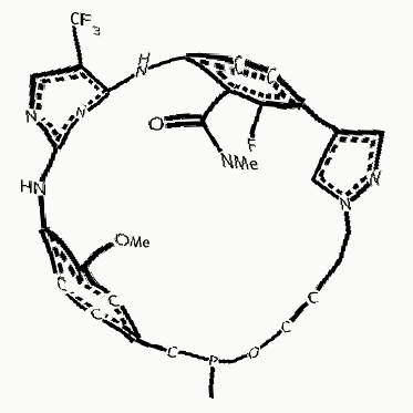 CNC(=O)c1c2ccc(c1F)-c1cnn(c1)CCCOP(C)Cc1ccc(c(OC)c1)Nc1ncc(C(F)(F)F)c(n1)N2